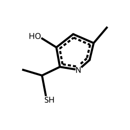 Cc1cnc(C(C)S)c(O)c1